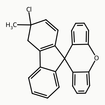 CC1(Cl)C=CC2=C(C1)c1ccccc1C21c2ccccc2Oc2ccccc21